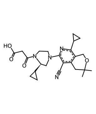 CC1(C)Cc2c(C#N)c(N3CCN(C(=O)CC(=O)O)[C@H](C4CC4)C3)nc(C3CC3)c2CO1